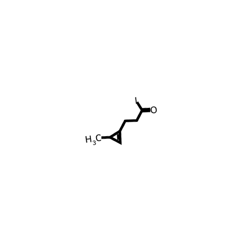 CC1C=C1CCC(=O)I